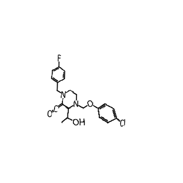 CC(O)C1C(=C=O)N(Cc2ccc(F)cc2)CCN1COc1ccc(Cl)cc1